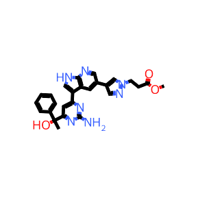 COC(=O)CCn1cc(-c2cnc3[nH]cc(-c4cc(C(C)(O)c5ccccc5)nc(N)n4)c3c2)cn1